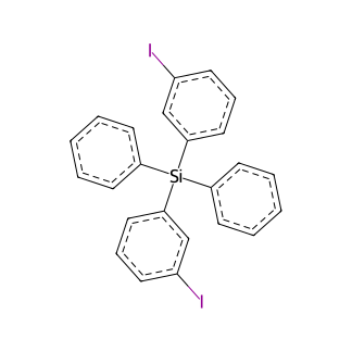 Ic1cccc([Si](c2ccccc2)(c2ccccc2)c2cccc(I)c2)c1